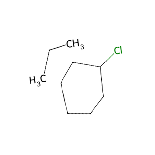 CCC.ClC1CCCCC1